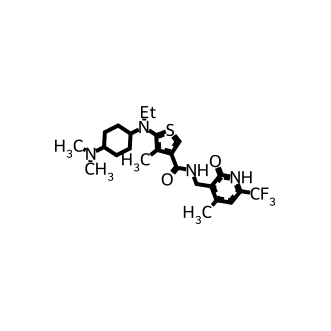 CCN(c1scc(C(=O)NCc2c(C)cc(C(F)(F)F)[nH]c2=O)c1C)C1CCC(N(C)C)CC1